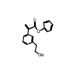 C=C(C(=O)Oc1ccccc1)c1cccc(CCO)c1